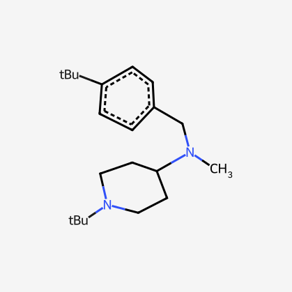 CN(Cc1ccc(C(C)(C)C)cc1)C1CCN(C(C)(C)C)CC1